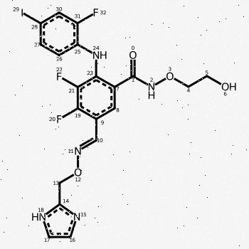 O=C(NOCCO)c1cc(C=NOCc2ncc[nH]2)c(F)c(F)c1Nc1ccc(I)cc1F